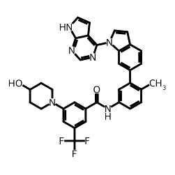 Cc1ccc(NC(=O)c2cc(N3CCC(O)CC3)cc(C(F)(F)F)c2)cc1-c1ccc2ccn(-c3ncnc4[nH]ccc34)c2c1